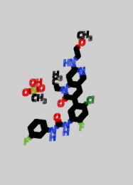 CCn1c(=O)c(-c2cc(NC(=O)Nc3cccc(F)c3)c(F)cc2Cl)cc2cnc(NCCOC)cc21.CS(=O)(=O)O